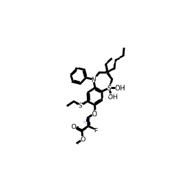 CCCCC1(CC)CN(c2ccccc2)c2cc(SCC)c(O/C=C(\F)C(=O)OC)cc2S(O)(O)C1